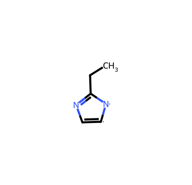 CCC1=NC=[C][N]1